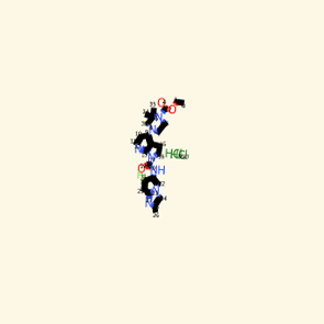 CCOC(=O)N1CCN(c2ccnc3c2CCN3C(=O)Nc2cn3cc(C)nc3cc2F)CC1(C)C.Cl.Cl